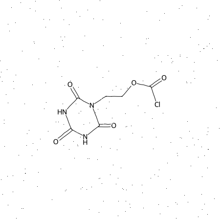 O=C(Cl)OCCn1c(=O)[nH]c(=O)[nH]c1=O